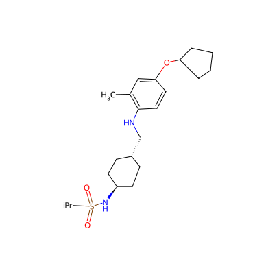 Cc1cc(OC2CCCC2)ccc1NC[C@H]1CC[C@H](NS(=O)(=O)C(C)C)CC1